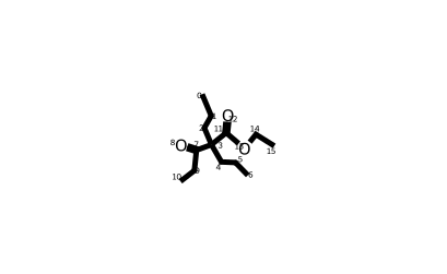 CCCC(CCC)(C(=O)CC)C(=O)OCC